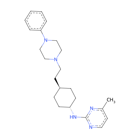 Cc1ccnc(N[C@H]2CC[C@H](CCN3CCN(c4ccccc4)CC3)CC2)n1